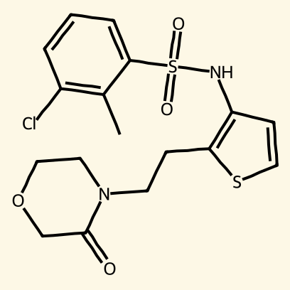 Cc1c(Cl)cccc1S(=O)(=O)Nc1ccsc1CCN1CCOCC1=O